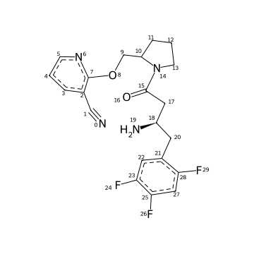 N#Cc1cccnc1OCC1CCCN1C(=O)C[C@H](N)Cc1cc(F)c(F)cc1F